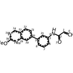 C=CC(=O)Nc1cccc(-c2ccc3cnc(OC)nc3c2)c1